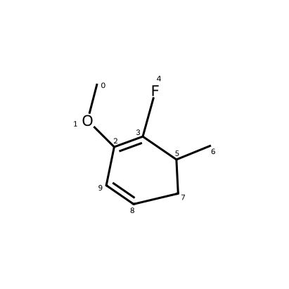 COC1=C(F)C(C)CC=C1